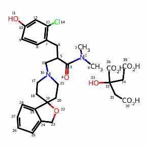 CN(C)C(=O)C(Cc1ccc(O)cc1Cl)CN1CCC2(CC1)OCc1ccccc12.O=C(O)CC(O)(CC(=O)O)C(=O)O